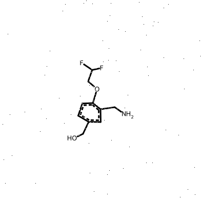 NCc1cc(CO)ccc1OCC(F)F